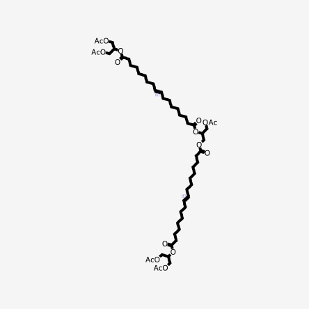 CC(=O)OCC(COC(C)=O)OC(=O)CCCCCCC/C=C/CCCCCCCC(=O)OCC(COC(C)=O)OC(=O)CCCCCCC/C=C/CCCCCCCC(=O)OC(COC(C)=O)COC(C)=O